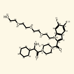 NC(C(=O)N1CCN(C(=O)c2cc3cc(F)c(F)cc3n2CCOCCOCCOCCO)CC1)C1CCCCC1